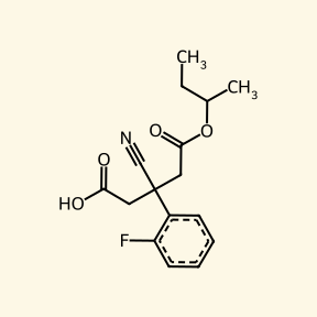 CCC(C)OC(=O)CC(C#N)(CC(=O)O)c1ccccc1F